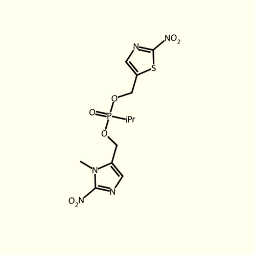 CC(C)P(=O)(OCc1cnc([N+](=O)[O-])s1)OCc1cnc([N+](=O)[O-])n1C